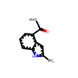 Bc1cc2c(C(=O)OC)cccc2[nH]1